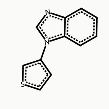 c1ccc2c(c1)ncn2-c1ccsc1